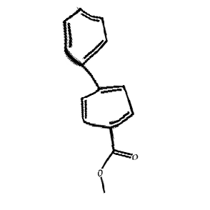 COC(=O)c1ccc(-c2cc[c]cc2)cc1